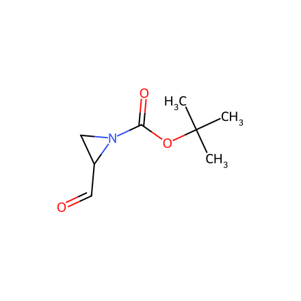 CC(C)(C)OC(=O)N1CC1C=O